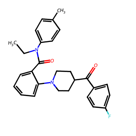 CCN(C(=O)c1ccccc1N1CCC(C(=O)c2ccc(F)cc2)CC1)c1ccc(C)cc1